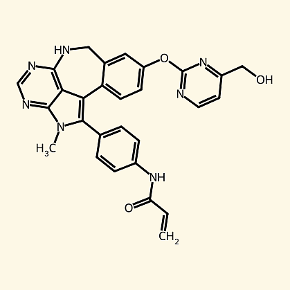 C=CC(=O)Nc1ccc(-c2c3c4c(ncnc4n2C)NCc2cc(Oc4nccc(CO)n4)ccc2-3)cc1